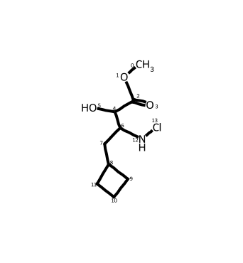 COC(=O)C(O)C(CC1CCC1)NCl